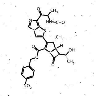 CC(NC=O)C(=O)c1ncn2cc(C3=C(C(=O)OCc4ccc([N+](=O)[O-])cc4)N4C(=O)[C@H]([C@@H](C)O)[C@H]4[C@H]3C)sc12